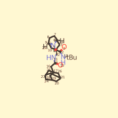 CC(C)(C)NC(=O)CN1[C@@H]2CC[C@H]1C[C@H](CNC(=O)CC13CC4CC(CC(C4)C1)C3)C2